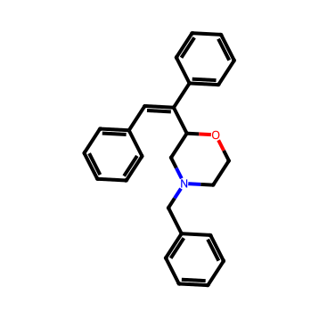 C(=C(\c1ccccc1)C1CN(Cc2ccccc2)CCO1)/c1ccccc1